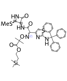 CS[C@H]1NC(=O)[C@H]1NC(=O)/C(=N\OC(C)(C)C(=O)OCC[Si](C)(C)C)c1csc(NC(c2ccccc2)(c2ccccc2)c2ccccc2)n1